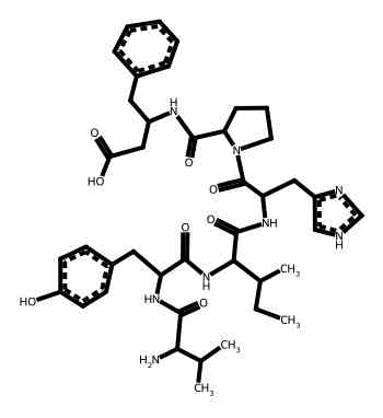 CCC(C)C(NC(=O)C(Cc1ccc(O)cc1)NC(=O)C(N)C(C)C)C(=O)NC(Cc1c[nH]cn1)C(=O)N1CCCC1C(=O)NC(CC(=O)O)Cc1ccccc1